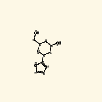 OCC1CC(O)CC(c2ccco2)O1